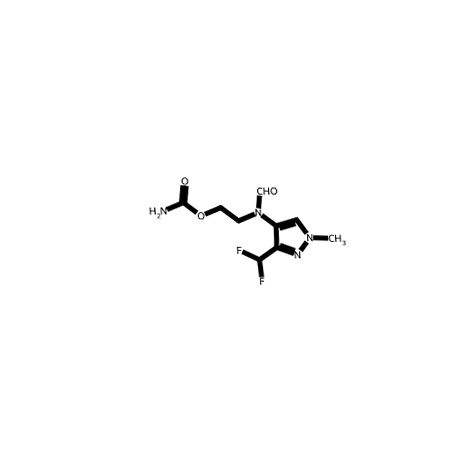 Cn1cc(N(C=O)CCOC(N)=O)c(C(F)F)n1